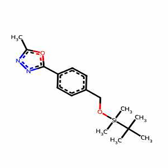 Cc1nnc(-c2ccc(CO[Si](C)(C)C(C)(C)C)cc2)o1